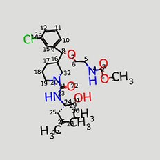 COC(=O)NCCO[C@@H](c1cccc(Cl)c1)[C@@H]1CCCN(C(=O)N[C@@H](CC(C)C)[C@@H](C)O)C1